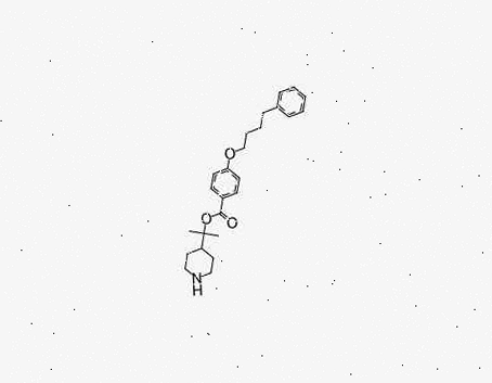 CC(C)(OC(=O)c1ccc(OCCCCc2ccccc2)cc1)C1CCNCC1